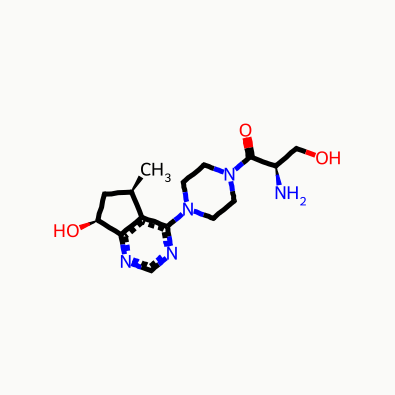 C[C@@H]1C[C@H](O)c2ncnc(N3CCN(C(=O)[C@H](N)CO)CC3)c21